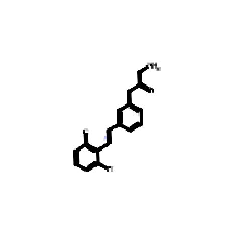 NCC(=O)Cc1cccc(/C=C/c2c(Cl)cccc2Cl)c1